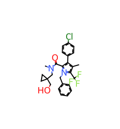 Cc1c(-c2ccc(Cl)cc2)c(C(=O)N(C)CC2(CO)CC2)n(Cc2ccccc2)c1C(F)(F)F